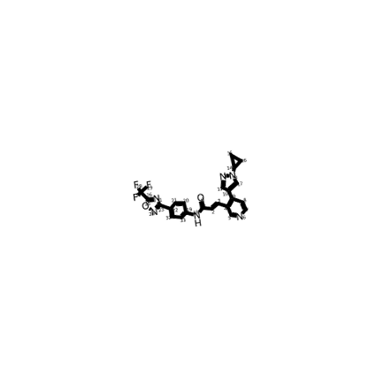 O=C(/C=C/c1cnccc1-c1cnn(C2CC2)c1)Nc1ccc(-c2noc(C(F)(F)F)n2)cc1